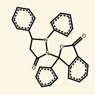 O=C1OC(c2ccccc2)(N2C(=O)CC(c3ccccc3)N2c2ccccc2)c2ccccc21